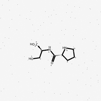 O=C(O)[C@H](CO)NC(=O)[C@H]1CCCN1